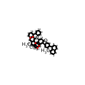 Cc1cccc2cccc(-c3ccc4c(c3)oc3cc(N(c5ccccc5-c5ccccc5)c5cccc6c5-c5ccccc5C6(C)C)c5ccccc5c34)c12